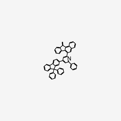 C=C1c2ccccc2-c2c(-c3cc(-c4ccc5c(c4)C(c4ccccc4)(c4ccccc4)c4ccccc4-5)cc(-c4ccccc4)n3)cc3ccccc3c21